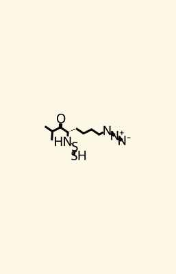 CC(C)C(=O)[C@H](CCCCN=[N+]=[N-])NSS